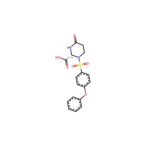 O=C1CCN(S(=O)(=O)c2ccc(Oc3ccccc3)cc2)[C@H](C(=O)O)N1